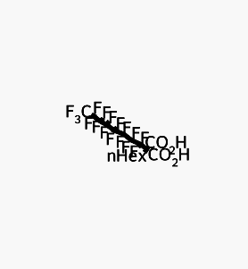 CCCCCCC(C(=O)O)(C(=O)O)C(F)(F)C(F)(F)C(F)(F)C(F)(F)C(F)(F)C(F)(F)C(F)(F)C(F)(F)F